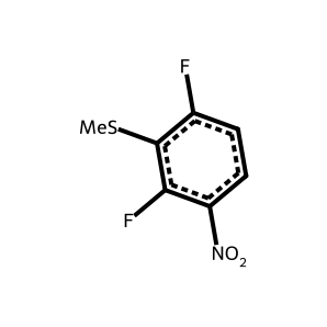 CSc1c(F)ccc([N+](=O)[O-])c1F